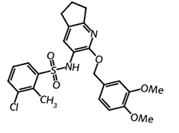 COc1ccc(COc2nc3c(cc2NS(=O)(=O)c2cccc(Cl)c2C)CCC3)cc1OC